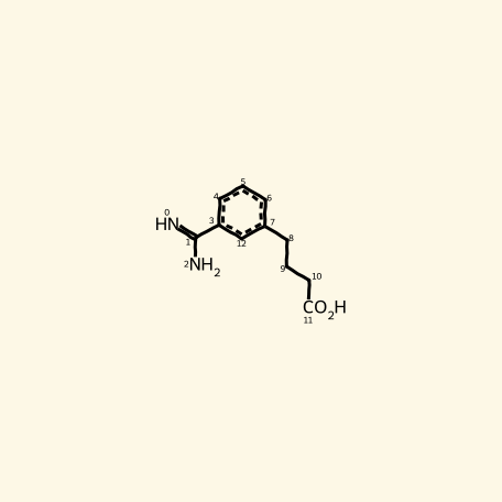 N=C(N)c1cccc(CCCC(=O)O)c1